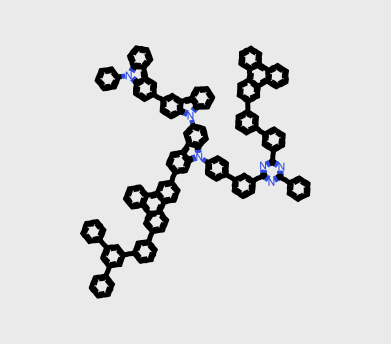 c1ccc(-c2cc(-c3ccccc3)cc(-c3cccc(-c4ccc5c6ccc(-c7ccc8c9cc(-n%10c%11ccccc%11c%11cc(-c%12ccc%13c(c%12)c%12ccccc%12n%13-c%12ccccc%12)ccc%11%10)ccc9n(-c9ccc(-c%10cccc(-c%11nc(-c%12ccccc%12)nc(-c%12cccc(-c%13cccc(-c%14ccc%15c%16ccccc%16c%16ccccc%16c%15c%14)c%13)c%12)n%11)c%10)cc9)c8c7)cc6c6ccccc6c5c4)c3)c2)cc1